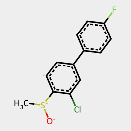 C[S+]([O-])c1[c]cc(-c2ccc(F)cc2)cc1Cl